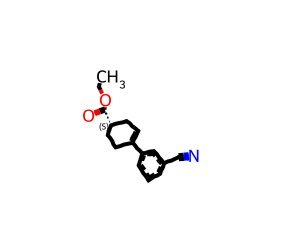 CCOC(=O)[C@@H]1CC=C(c2cccc(C#N)c2)CC1